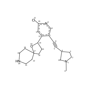 CN1CCC(C#Cc2cnc(Cl)cc2C2CCC3(CCNCC3)O2)C1